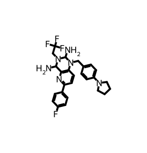 NC1c2nc(-c3ccc(F)cc3)ccc2N(Cc2ccc(N3CCCC3)cc2)C(N)N1CC(F)(F)F